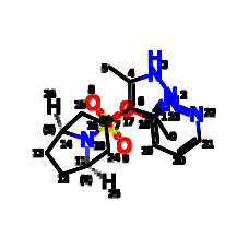 Cc1n[nH]c(C)c1S(=O)(=O)N1[C@@H]2CC[C@H]1C[C@@H](Oc1cccnn1)C2